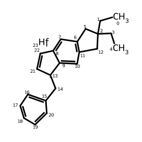 CCC1(CC)Cc2cc3c(cc2C1)[C](Cc1ccccc1)C=C3.[Hf]